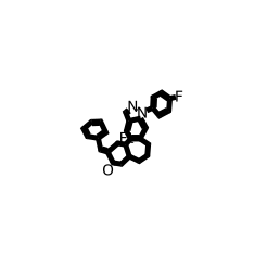 CCC12CC(=Cc3ccccc3)C(=O)CC1CCCc1cc3c(cnn3-c3ccc(F)cc3)cc12